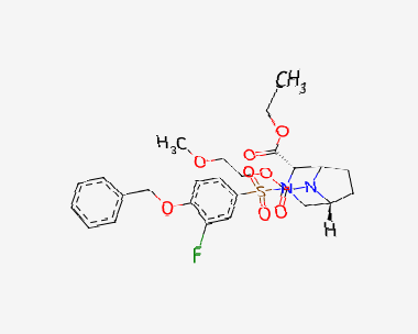 CCOC(=O)[C@@H]1C2CC[C@H](CN1S(=O)(=O)c1ccc(OCc3ccccc3)c(F)c1)N2C(=O)OCCOC